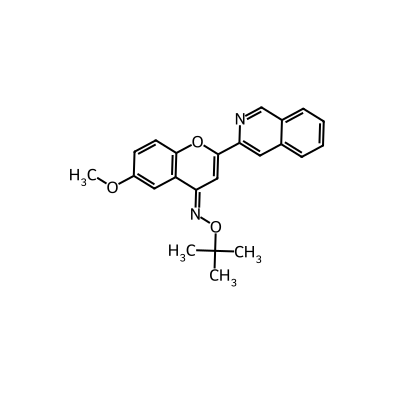 COc1ccc2oc(-c3cc4ccccc4cn3)cc(=NOC(C)(C)C)c2c1